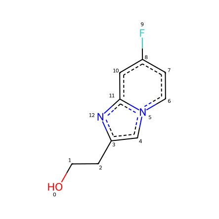 OCCc1cn2ccc(F)cc2n1